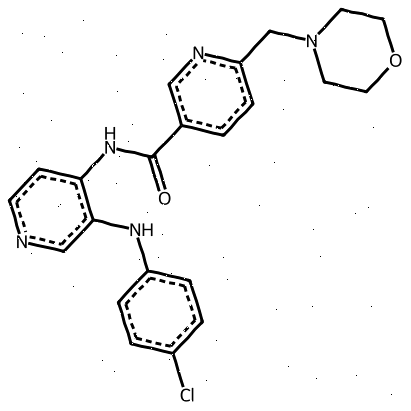 O=C(Nc1ccncc1Nc1ccc(Cl)cc1)c1ccc(CN2CCOCC2)nc1